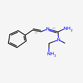 CN(CN)/C(N)=N\C=C\c1ccccc1